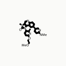 CNc1ccc(-c2ccc3ncc4c(c3c2)n(-c2ccc(OCCOC)nc2C)c(=O)n4C)cn1